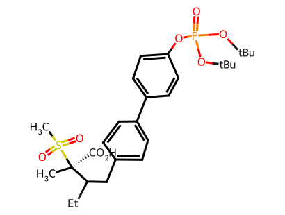 CCC(Cc1ccc(-c2ccc(OP(=O)(OC(C)(C)C)OC(C)(C)C)cc2)cc1)[C@](C)(C(=O)O)S(C)(=O)=O